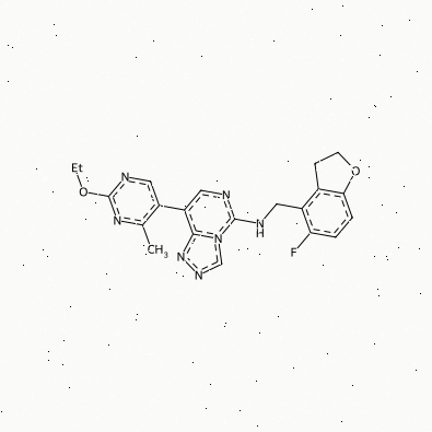 CCOc1ncc(-c2cnc(NCc3c(F)ccc4c3CCO4)n3cnnc23)c(C)n1